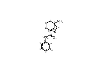 NC12CCCC(C(=O)Nc3cccnc3)(CC1)C2